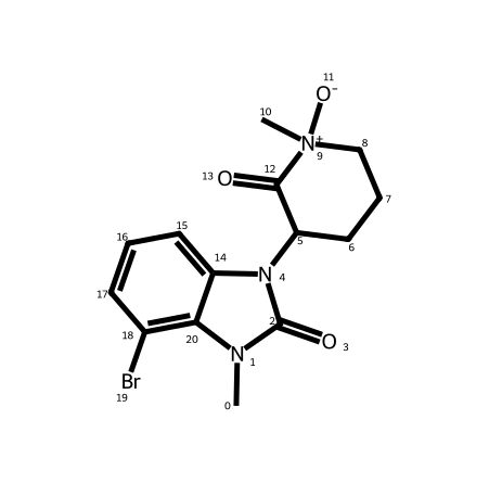 Cn1c(=O)n(C2CCC[N+](C)([O-])C2=O)c2cccc(Br)c21